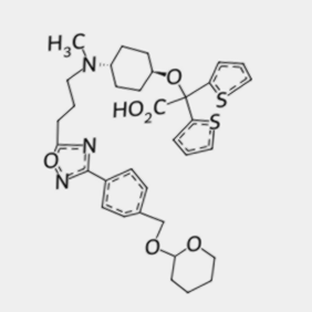 CN(CCCc1nc(-c2ccc(COC3CCCCO3)cc2)no1)[C@H]1CC[C@H](OC(C(=O)O)(c2cccs2)c2cccs2)CC1